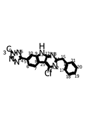 Cn1nnc(-c2ccc3c(c2)[nH]c2nc(Cc4ccccc4)nc(Cl)c23)n1